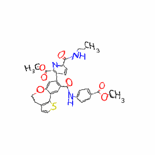 CCCNC(=O)c1ccc(-c2cc3c(cc2C(=O)Nc2ccc(C(=O)OC)cc2)-c2sccc2CCO3)c(C(=O)OC)n1